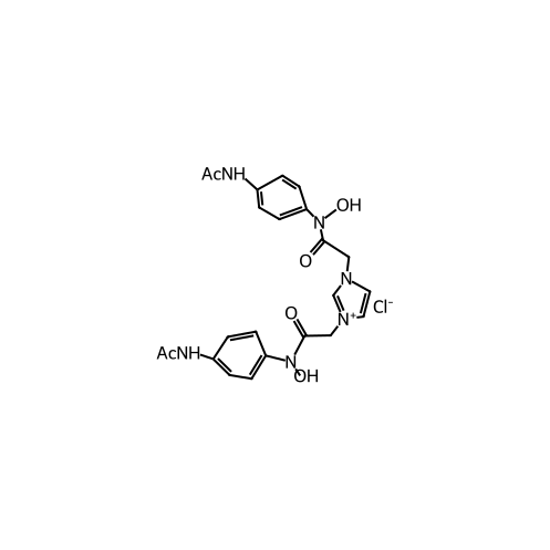 CC(=O)Nc1ccc(N(O)C(=O)Cn2cc[n+](CC(=O)N(O)c3ccc(NC(C)=O)cc3)c2)cc1.[Cl-]